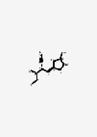 CCC(C)[C@H](C#N)/C=C1/CCC(C)C1